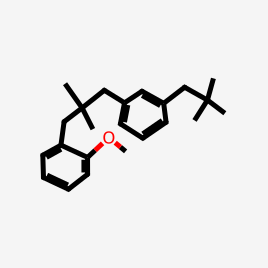 COc1ccccc1CC(C)(C)Cc1cccc(CC(C)(C)C)c1